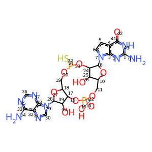 Nc1nc2c(ccn2C2OC3COP(=O)(O)OC4C(COP(S)OC2C3O)OC(n2cnc3c(N)ncnc32)C4O)c(=O)[nH]1